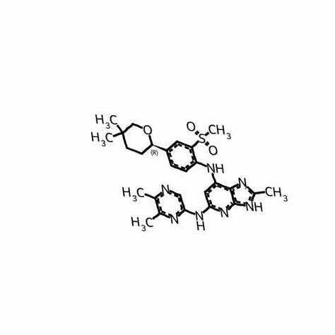 Cc1nc2c(Nc3ccc([C@H]4CCC(C)(C)CO4)cc3S(C)(=O)=O)cc(Nc3cnc(C)c(C)n3)nc2[nH]1